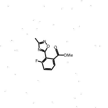 COC(=O)c1cccc(F)c1-c1nc(C)no1